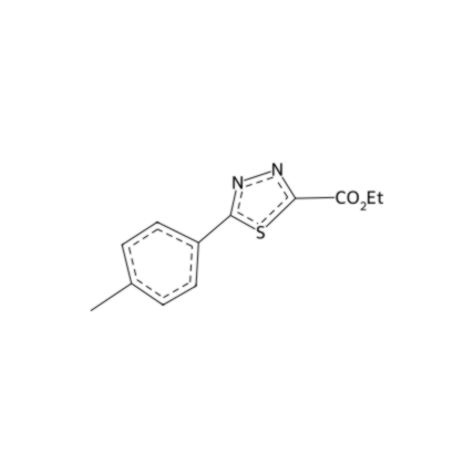 CCOC(=O)c1nnc(-c2ccc(C)cc2)s1